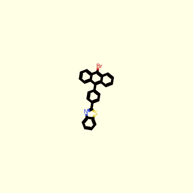 Brc1c2ccccc2c(-c2ccc(-c3nc4ccccc4s3)cc2)c2ccccc12